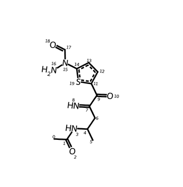 CC(=O)NC(C)CC(=N)C(=O)c1ccc(N(N)C=O)s1